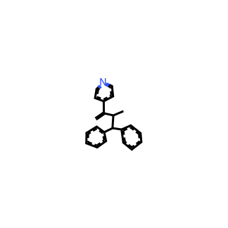 C=C(c1ccncc1)C(C)C(c1ccccc1)c1ccccc1